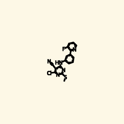 CSc1nc(Cl)c(C#N)c(Nc2cccc(-c3ncccc3F)c2)n1